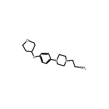 NCCN1CCN(c2ccc(OC3CCOCC3)cc2)CC1